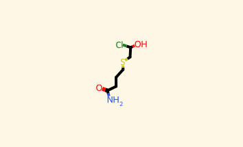 NC(=O)CCCSCC(O)Cl